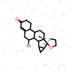 CCC1CC2=CC(=O)CCC2C2CC[C@@]3(C)C(C4CC4[C@@]34CCCO4)C12